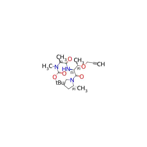 C#CCO[C@H](C)[C@H](NC(=O)[C@H](C)N(C)C(=O)OC(C)(C)C)C(=O)N1CCC[C@H]1C